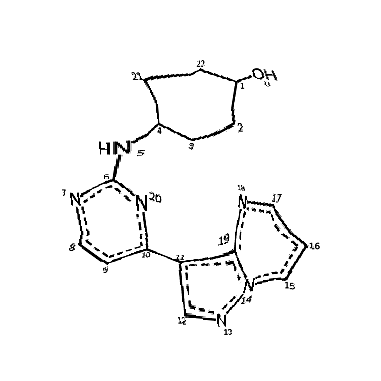 OC1CCC(Nc2nccc(-c3cnn4cccnc34)n2)CC1